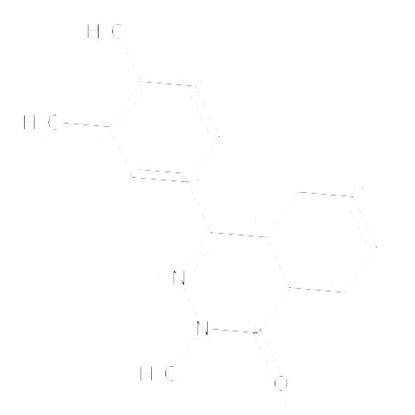 Cc1ccc(C2=NN(C)C(=O)C3CC=CCC23)cc1C